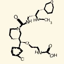 CN[C@H](CNC(=O)N1CCC[C@@H]([C@@H](OCCNC(=O)O)c2cccc(Cl)c2)C1)C[C@H]1CCCOC1